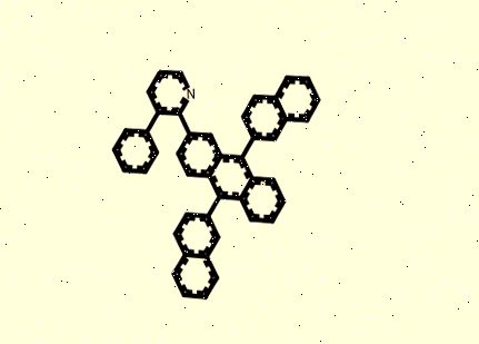 c1ccc(-c2cccnc2-c2ccc3c(-c4ccc5ccccc5c4)c4ccccc4c(-c4ccc5ccccc5c4)c3c2)cc1